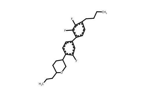 CCCCc1ccc(-c2ccc(C3CCC(CCC)OC3)c(F)c2)c(F)c1F